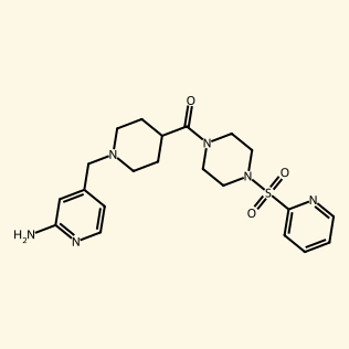 Nc1cc(CN2CCC(C(=O)N3CCN(S(=O)(=O)c4ccccn4)CC3)CC2)ccn1